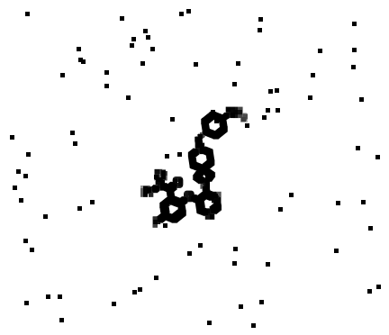 CCN(C(=O)c1cc(F)ccc1Oc1cncnc1N1CC2(CCN(C[C@H]3CC[C@H](N)CC3)CC2)C1)C(C)C